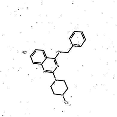 CN1CCN(c2nc(NCc3ccccc3)c3ccccc3n2)CC1.Cl